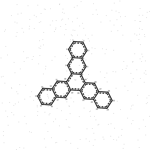 [c]1cc[c]c2cc3c(cc12)c1cc2ccccc2cc1c1cc2ccccc2cc31